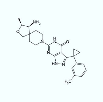 C[C@@H]1OCC2(CCN(c3nc4[nH]nc(C5(c6cccc(C(F)(F)F)c6)CC5)c4c(=O)[nH]3)CC2)[C@@H]1N